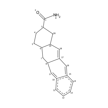 NC(=O)C1CCC2CC3C=c4ccccc4=CC3=CC2C1